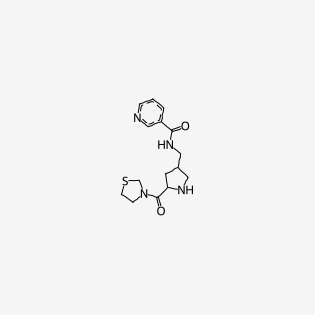 O=C(NCC1CNC(C(=O)N2CCSC2)C1)c1cccnc1